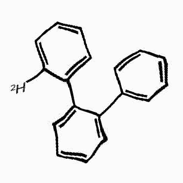 [2H]c1ccccc1-c1ccccc1-c1ccccc1